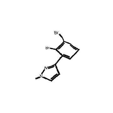 Cn1[c]cc(-c2cccc(Br)c2Br)n1